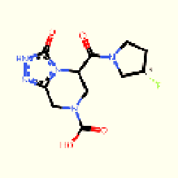 O=C(O)N1Cc2n[nH]c(=O)n2C(C(=O)N2CC[C@H](F)C2)C1